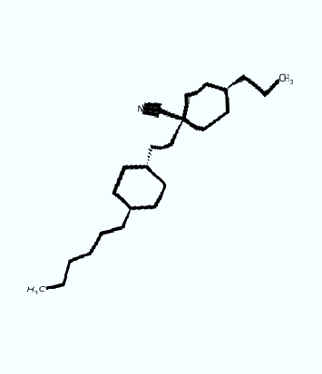 CCCCCC[C@H]1CC[C@H](CC[C@]2(C#N)CC[C@H](CCC)CC2)CC1